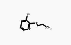 CCCOc1ncccc1I